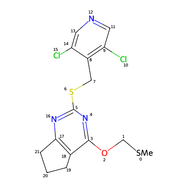 CSCOc1nc(SCc2c(Cl)cncc2Cl)nc2c1CCC2